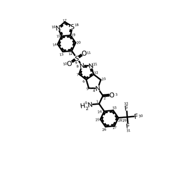 NC(C(=O)N1Cc2cn(S(=O)(=O)c3ccc4ncsc4c3)nc2C1)c1cccc(C(F)(F)F)c1